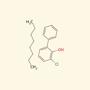 CCCCCCCC.Oc1c(Cl)cccc1-c1ccccc1